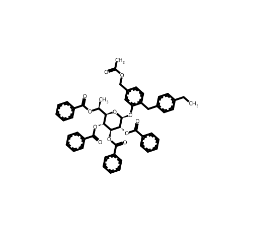 CCc1ccc(Cc2ccc(COC(C)=O)cc2O[C@@H]2O[C@H]([C@H](C)OC(=O)c3ccccc3)[C@@H](OC(=O)c3ccccc3)[C@H](OC(=O)c3ccccc3)[C@H]2OC(=O)c2ccccc2)cc1